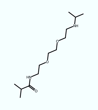 CC(C)NCCOCCOCCNC(=O)C(C)C